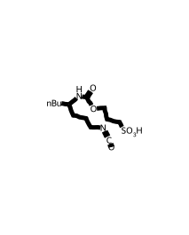 CCCCC(CCCN=C=O)NC(=O)OCCCS(=O)(=O)O